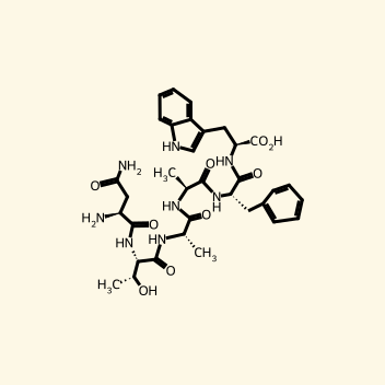 C[C@H](NC(=O)[C@H](C)NC(=O)[C@@H](NC(=O)[C@@H](N)CC(N)=O)[C@@H](C)O)C(=O)N[C@@H](Cc1ccccc1)C(=O)N[C@@H](Cc1c[nH]c2ccccc12)C(=O)O